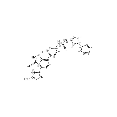 Cc1cnc(-c2ccc(-c3ccc(NC(=O)Nc4csc(-c5ccccc5)n4)cc3F)c3c2C(=O)NC3)[nH]1